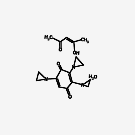 CC(=O)/C=C(/C)O.O.O=C1C=C(N2CC2)C(=O)C(N2CC2)=C1N1CC1